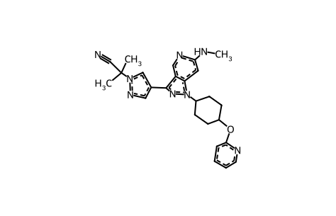 CNc1cc2c(cn1)c(-c1cnn(C(C)(C)C#N)c1)nn2C1CCC(Oc2ccccn2)CC1